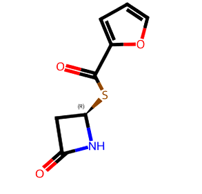 O=C1C[C@@H](SC(=O)c2ccco2)N1